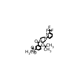 CC(C)Oc1ccc(S(C)(=O)=O)cc1C(=O)N1CCN(c2cccc(C(F)(F)F)n2)CC1